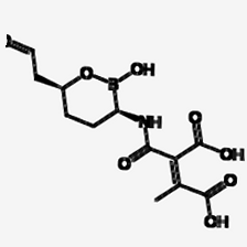 C/C(C(=O)O)=C(/C(=O)O)C(=O)N[C@H]1CC[C@@H](CC=O)OB1O